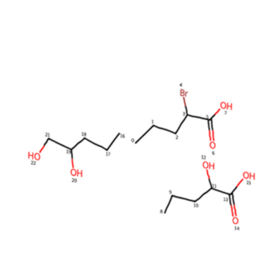 CCCC(Br)C(=O)O.CCCC(O)C(=O)O.CCCC(O)CO